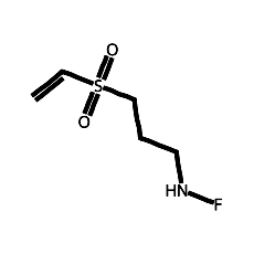 C=CS(=O)(=O)CCCNF